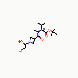 CC(C)[C@@H](C(=O)OC(C)(C)C)N(C)C(=O)C1CN(C(O)CCl)C1